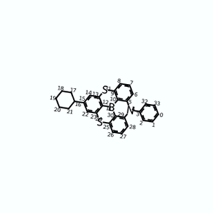 c1ccc(N2c3cccc4c3B3c5c(cc(C6CCCCC6)cc5Sc5cccc2c53)S4)cc1